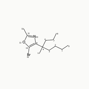 CCCCC(C)(CCC)c1nc(C)oc1Br